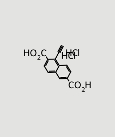 C#Cc1c(C(=O)O)ccc2cc(C(=O)O)ccc12.Cl.Cl